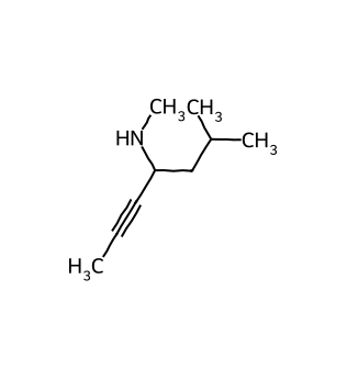 CC#CC(CC(C)C)NC